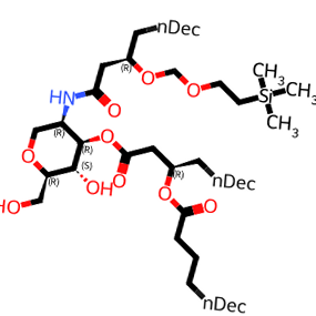 CCCCCCCCCCCCCC(=O)O[C@H](CCCCCCCCCCC)CC(=O)O[C@H]1[C@H](O)[C@@H](CO)OC[C@H]1NC(=O)C[C@@H](CCCCCCCCCCC)OCOCC[Si](C)(C)C